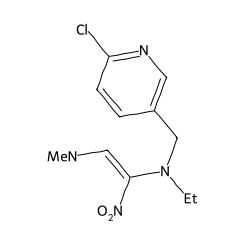 CCN(Cc1ccc(Cl)nc1)C(=CNC)[N+](=O)[O-]